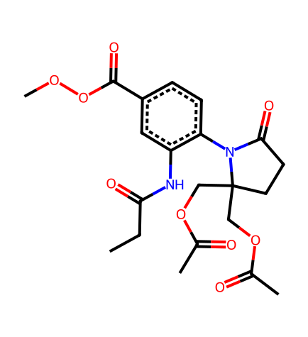 CCC(=O)Nc1cc(C(=O)OOC)ccc1N1C(=O)CCC1(COC(C)=O)COC(C)=O